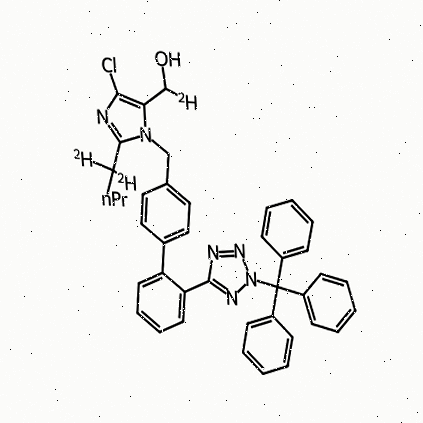 [2H]C(O)c1c(Cl)nc(C([2H])([2H])CCC)n1Cc1ccc(-c2ccccc2-c2nnn(C(c3ccccc3)(c3ccccc3)c3ccccc3)n2)cc1